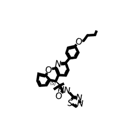 CCCCOc1ccc(-c2ccc3c(n2)Oc2ccccc2[C@@H]3C(C)(C)C(=O)Nc2nncs2)cc1